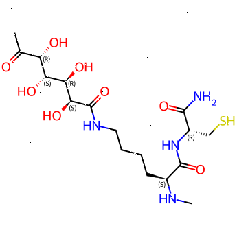 CN[C@@H](CCCCNC(=O)[C@@H](O)[C@H](O)[C@H](O)[C@@H](O)C(C)=O)C(=O)N[C@@H](CS)C(N)=O